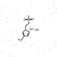 CS(=O)(=O)CCn1cc(N)cn1.Cl.Cl